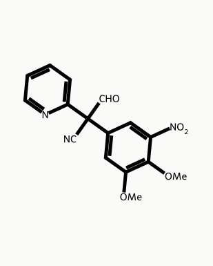 COc1cc(C(C#N)(C=O)c2ccccn2)cc([N+](=O)[O-])c1OC